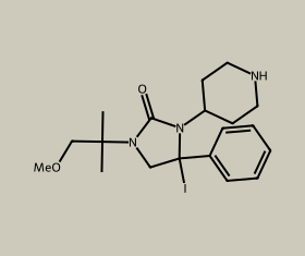 COCC(C)(C)N1CC(I)(c2ccccc2)N(C2CCNCC2)C1=O